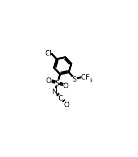 O=C=NS(=O)(=O)c1cc(Cl)ccc1SC(F)(F)F